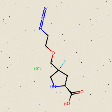 Cl.[N-]=[N+]=NCCOC[C@]1(F)CN[C@H](C(=O)O)C1